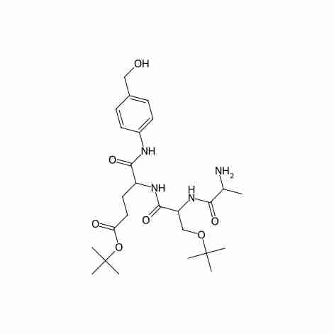 CC(N)C(=O)NC(COC(C)(C)C)C(=O)NC(CCC(=O)OC(C)(C)C)C(=O)Nc1ccc(CO)cc1